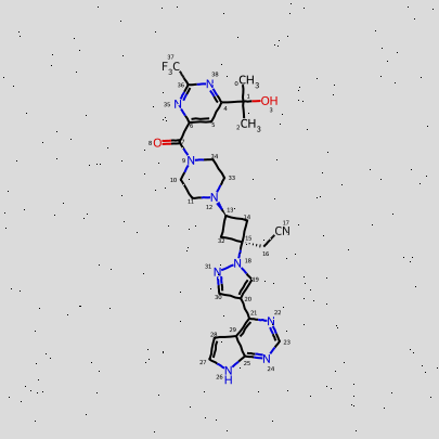 CC(C)(O)c1cc(C(=O)N2CCN([C@H]3C[C@@](CC#N)(n4cc(-c5ncnc6[nH]ccc56)cn4)C3)CC2)nc(C(F)(F)F)n1